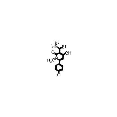 CCNC(CC)c1c(O)cc(-c2ccc(Cl)cc2)n(C)c1=O